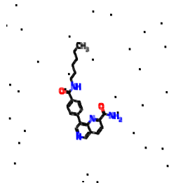 CCCCCCNC(=O)c1ccc(-c2cncc3ccc(C(N)=O)nc23)cc1